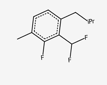 Cc1ccc(CC(C)C)c(C(F)F)c1F